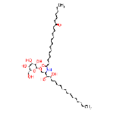 CCCCCCCCCCCCCCC(O)C(O)C(CO[C@H]1O[C@H](CO)[C@H](O)[C@H](O)[C@H]1O)NC(=O)CCCCCCCCCCCCC(=O)CCCCCC